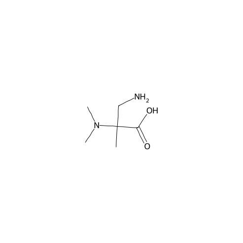 CN(C)C(C)(CN)C(=O)O